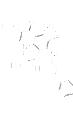 CC1(C)Cn2cc(C(=O)O)c(=O)c3c(N)c(F)c(NCCCc4ccccc4)c(c32)O1